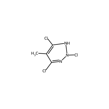 CC1=C(Cl)NN(Cl)N=C1Cl